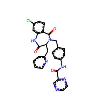 O=C(Nc1ccc(CN2C(=O)c3ccc(Cl)cc3NC(=O)C2Cc2ccccn2)cc1)c1cnccn1